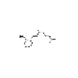 CC(C)=CCC/C(C)=C/Cc1cccc(C)c1O